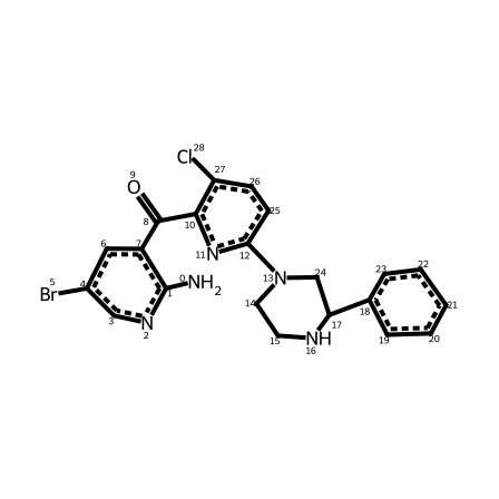 Nc1ncc(Br)cc1C(=O)c1nc(N2CCNC(c3ccccc3)C2)ccc1Cl